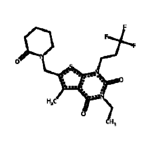 CCn1c(=O)c2c(C)c(CN3CCCCC3=O)sc2n(CCC(F)(F)F)c1=O